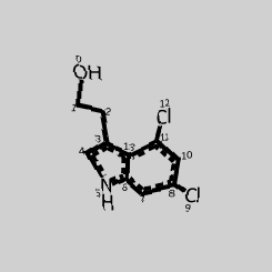 OCCc1c[nH]c2cc(Cl)cc(Cl)c12